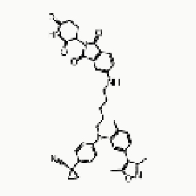 Cc1ccc(-c2c(C)noc2C)cc1N(CCCCCNc1ccc2c(c1)C(=O)N(C1CCC(=O)NC1=O)C2=O)c1ccc(C2(C#N)CC2)cc1